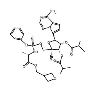 CC(C)C(=O)O[C@H]1[C@H](c2ccc3c(N)ncnn23)O[C@](C#N)(CO[P@](=O)(N[C@@H](C)C(=O)OCC2COC2)Oc2ccccc2)[C@H]1OC(=O)C(C)C